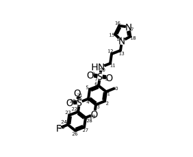 Cc1cc2c(cc1S(=O)(=O)NCCCn1ccnc1)S(=O)(=O)c1cc(F)ccc1O2